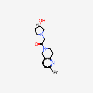 CC(C)c1ccc2c(n1)CCN(C(=O)CN1CC[C@@H](O)C1)C2